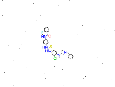 CN(c1ccc(NC(=S)Nc2ccc(NC(=O)c3ccccc3F)cc2)cc1Cl)C1CCN(Cc2ccccc2)C1